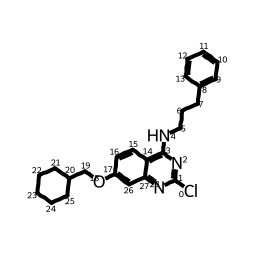 Clc1nc(NCCCc2ccccc2)c2ccc(OCC3CCCCC3)cc2n1